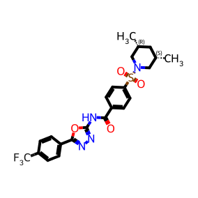 C[C@@H]1C[C@H](C)CN(S(=O)(=O)c2ccc(C(=O)Nc3nnc(-c4ccc(C(F)(F)F)cc4)o3)cc2)C1